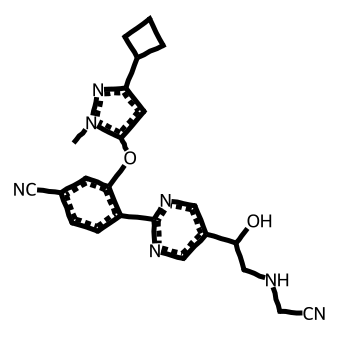 Cn1nc(C2CCC2)cc1Oc1cc(C#N)ccc1-c1ncc(C(O)CNCC#N)cn1